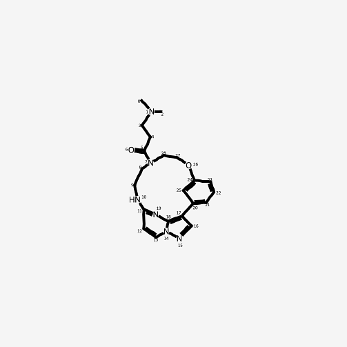 CN(C)CCC(=O)N1CCNc2ccn3ncc(c3n2)-c2cccc(c2)OCC1